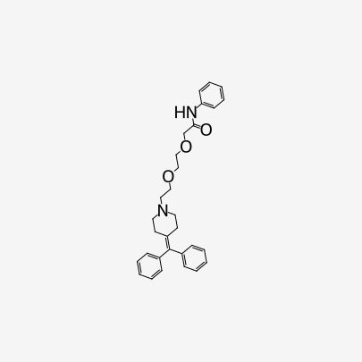 O=C(COCCOCCN1CCC(=C(c2ccccc2)c2ccccc2)CC1)Nc1ccccc1